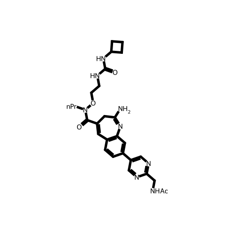 CCCN(OCCNC(=O)NC1CCC1)C(=O)C1=Cc2ccc(-c3cnc(CNC(C)=O)nc3)cc2N=C(N)C1